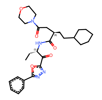 CC[C@H](NC(=O)[C@H](CCC1CCCCC1)CC(=O)N1CCOCC1)C(=O)c1nnc(-c2ccccc2)o1